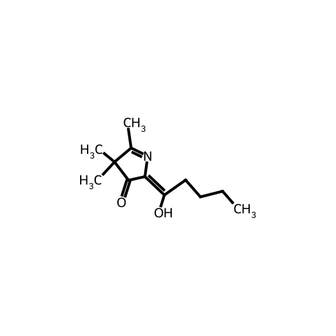 CCCC/C(O)=C1\N=C(C)C(C)(C)C1=O